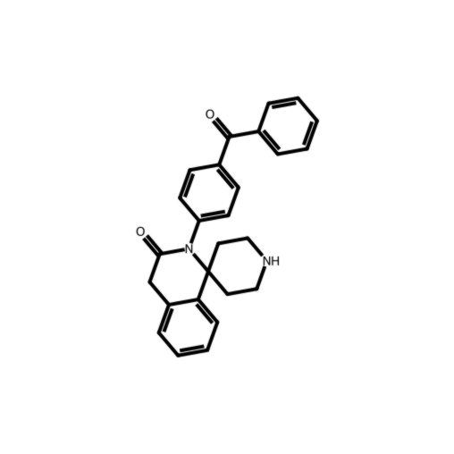 O=C(c1ccccc1)c1ccc(N2C(=O)Cc3ccccc3C23CCNCC3)cc1